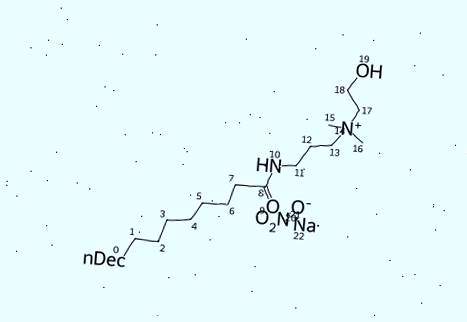 CCCCCCCCCCCCCCCCCC(=O)NCCC[N+](C)(C)CCO.O=[N+]([O-])[O-].[Na]